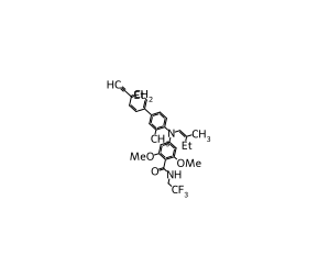 C#CC(=C)/C=C\C(=C/CC)c1ccc(N(/C=C(/C)CC)c2cc(OC)c(C(=O)NCC(F)(F)F)c(OC)c2)c(C)c1